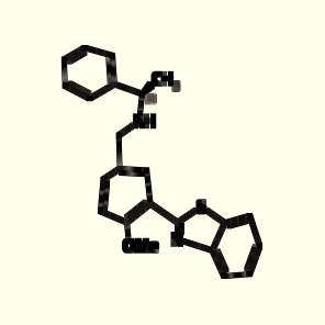 COc1ccc(CN[C@H](C)c2ccccc2)cc1-c1nc2ccccc2s1